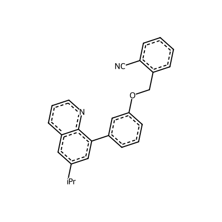 CC(C)c1cc(-c2cccc(OCc3ccccc3C#N)c2)c2ncccc2c1